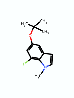 Cn1ccc2cc(OC(C)(C)C)cc(F)c21